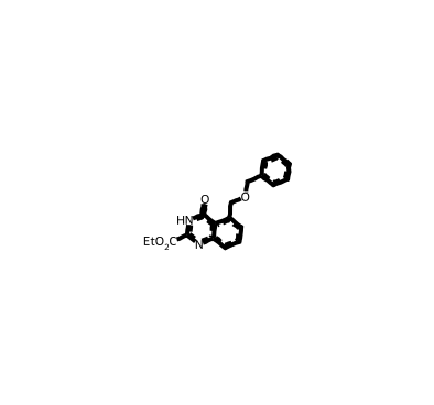 CCOC(=O)c1nc2cccc(COCc3ccccc3)c2c(=O)[nH]1